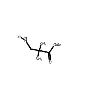 CCNCC(C)(C)C(=O)OC